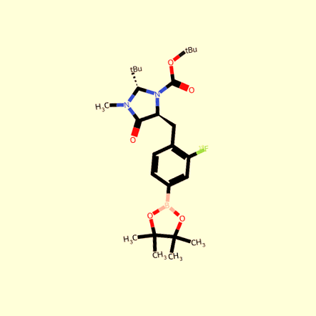 CN1C(=O)[C@H](Cc2ccc(B3OC(C)(C)C(C)(C)O3)cc2[18F])N(C(=O)OC(C)(C)C)[C@H]1C(C)(C)C